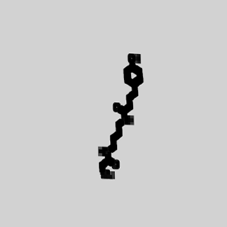 CC(C)(C)CC(=O)NCCCCNC(=O)CCCc1ccc(O)cc1